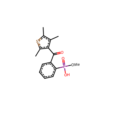 COP(=O)(O)c1ccccc1C(=O)c1c(C)sc(C)c1C